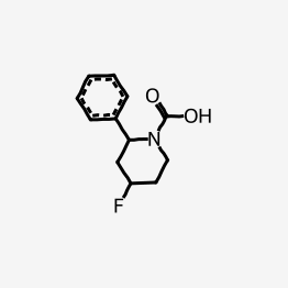 O=C(O)N1CCC(F)CC1c1ccccc1